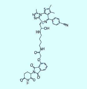 Cc1sc2c(c1C)C(c1ccc(C#N)cc1)=N[C@@H](CC(O)NCCCCNC(=O)COc1cccc3c1C(=O)N(C1CCC(=O)NC1=O)C3=O)c1nnc(C)n1-2